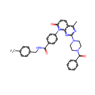 Cc1nc(N2CCN(C(=O)c3ccccc3)CC2)nc2c1ccc(=O)n2-c1ccc(C(=O)NCc2ccc(C(F)(F)F)cc2)cc1